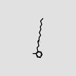 CCCCCCCC/C=C/CCc1ccccc1C